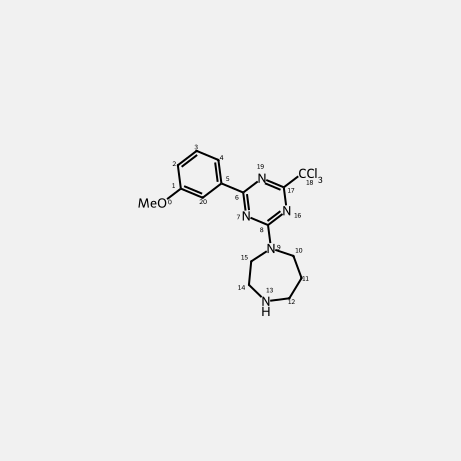 COc1cccc(-c2nc(N3CCCNCC3)nc(C(Cl)(Cl)Cl)n2)c1